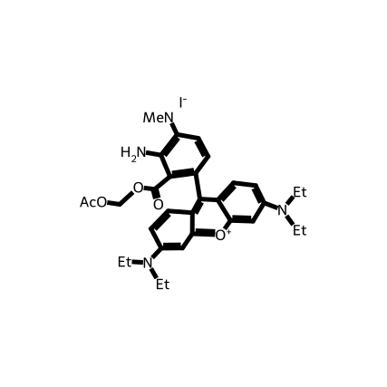 CCN(CC)c1ccc2c(-c3ccc(NC)c(N)c3C(=O)OCOC(C)=O)c3ccc(N(CC)CC)cc3[o+]c2c1.[I-]